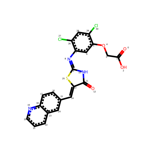 O=C(O)COc1cc(/N=C2\NC(=O)/C(=C/c3ccc4ncccc4c3)S2)c(Cl)cc1Cl